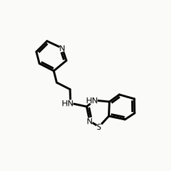 c1cncc(CCNC2=NSc3ccccc3N2)c1